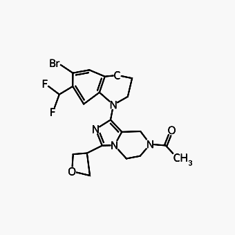 CC(=O)N1CCn2c(C3COC3)nc(N3CCCc4cc(Br)c(C(F)F)cc43)c2C1